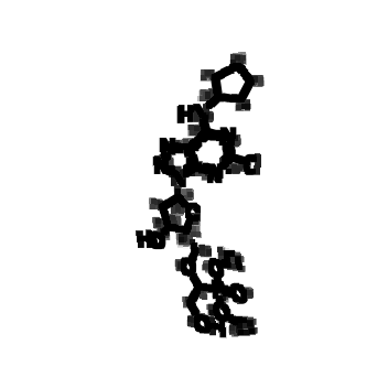 CCOP(=O)(OCC)C(CO)OC[C@H]1O[C@@H](n2nnc3c(NC4CCCC4)nc(Cl)nc32)C[C@@H]1O